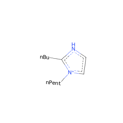 CCCCC[n+]1cc[nH]c1CCCC